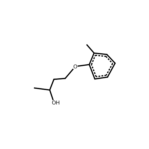 Cc1ccccc1OCCC(C)O